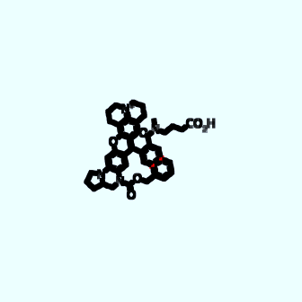 CN(CCCC(=O)O)C(=O)c1ccccc1C1=c2cc3c4c(c2Oc2cc5c(cc21)N(C(=O)OCc1ccccc1)CC1CCCN51)CCC[N+]=4CCC3